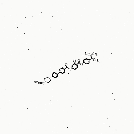 CCCCC[C@H]1CC[C@H](c2ccc(-c3ccc(C(=O)Oc4ccc(C(=O)Oc5ccc(C(C)=C(C#N)C#N)cc5)c(Cl)c4)cc3)cc2)CC1